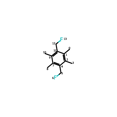 Cc1c(C)c(CF)c(C)c(C)c1CF